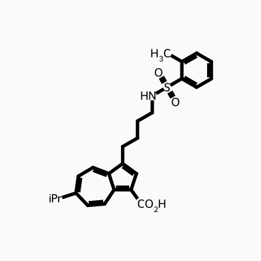 Cc1ccccc1S(=O)(=O)NCCCCc1cc(C(=O)O)c2ccc(C(C)C)ccc1-2